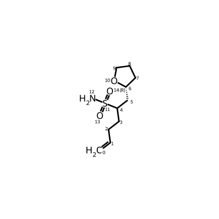 C=CCCC(C[C@H]1CCCO1)S(N)(=O)=O